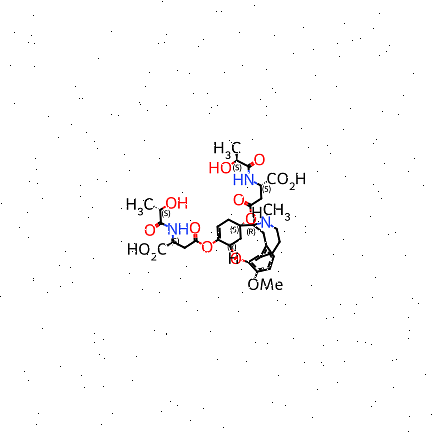 COc1ccc2c3c1O[C@@H]1C[C@@](OC(=O)C[C@H](NC(=O)[C@H](C)O)C(=O)O)(CC=C1OC(=O)C[C@H](NC(=O)[C@H](C)O)C(=O)O)[C@@H](C2)N(C)CCC3